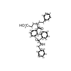 O=C(O)CCN(CCc1cccnc1)C(=O)c1ccccc1-c1ccccc1C(=O)NCc1cccnc1